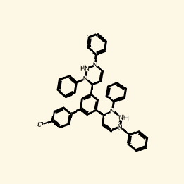 Clc1ccc(-c2cc(C3C=CN(c4ccccc4)NN3c3ccccc3)cc(C3C=CN(c4ccccc4)NN3c3ccccc3)c2)cc1